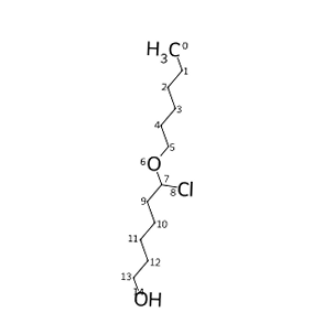 CCCCCCOC(Cl)CCCCCO